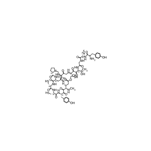 CCOC(=O)CCC(NC)C(=O)C(=O)[C@H](Cc1ccc(O)cc1)NC(=O)[C@H](CS)NC(=O)[C@H](CS)NC(=O)[C@H](CC(N)=O)NC(=O)[C@@H]1CCCN1CN[C@@H](C)C(=O)CN[C@@H](CS)C(=O)C(=O)[C@@H](NC(=O)CNC(=O)[C@H](CS)NC(=O)[C@@H](N)Cc1ccc(O)cc1)[C@@H](C)O